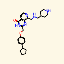 O=c1[nH]c(COc2ccc(C3CCCC3)cc2)nc2c(CNCC3CCNCC3)nccc12